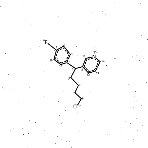 Fc1ccc(C(CCCCCl)c2cccnc2)cc1